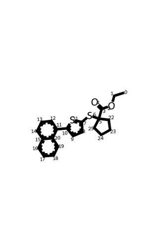 CCOC(=O)C1(Sc2ccc(-c3cccc4ccccc34)s2)CCCC1